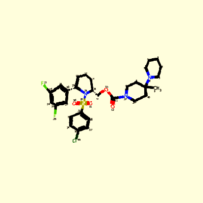 CC1(N2CCCCC2)CCN(C(=O)OC[C@H]2CCC[C@@H](c3cc(F)cc(F)c3)N2S(=O)(=O)c2ccc(Cl)cc2)CC1